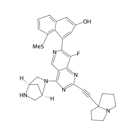 CSc1cccc2cc(O)cc(-c3ncc4c(N5C[C@H]6C[C@@H]5CN6)nc(C#CC56CCCN5CCC6)nc4c3F)c12